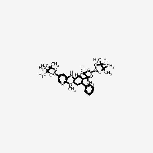 COc1ncc(B2OC(C)(C)C(C)(C)O2)cc1NC1CCC(c2ccccc2)C(C2(C)OB(B3OC(C)(C)C(C)(C)O3)OC2(C)C)C1